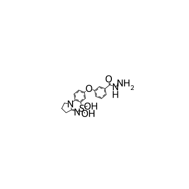 NNC(=O)c1cccc(Oc2ccc3c(c2)S(O)(O)N=C2CCCN23)c1